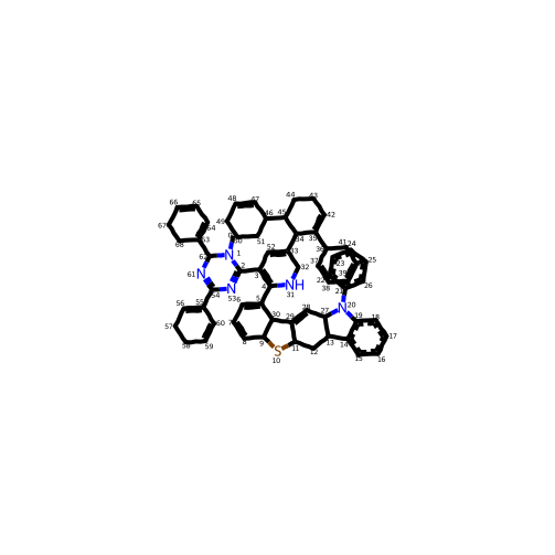 CN1C(C2=C(C3=CC=CC4SC5CC6c7ccccc7N(c7ccccc7)C6C=C5C34)NCC(C3C(C4C=CC=CC4)=CCCC3C3C=CCCC3)=C2)=NC(C2=CCCC=C2)=NC1C1=CC=CCC1